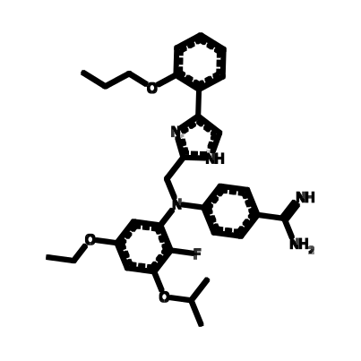 CCCOc1ccccc1-c1c[nH]c(CN(c2ccc(C(=N)N)cc2)c2cc(OCC)cc(OC(C)C)c2F)n1